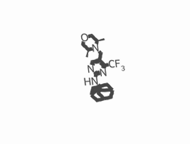 C[C@@H]1COC[C@H](C)N1Cc1cnc(NC23CC4CC(CC(C4)C2)C3)nc1C(F)(F)F